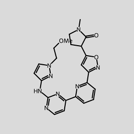 COCCn1ccc(Nc2nccc(-c3cccc(-c4cc(C5CCN(C)C5=O)on4)n3)n2)n1